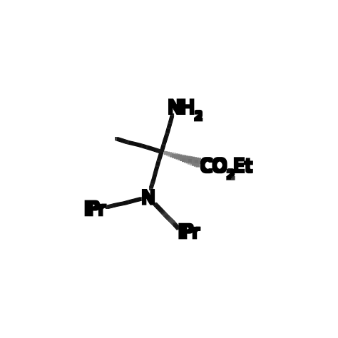 CCOC(=O)[C@](C)(N)N(C(C)C)C(C)C